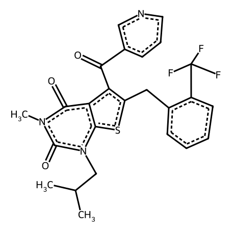 CC(C)Cn1c(=O)n(C)c(=O)c2c(C(=O)c3cccnc3)c(Cc3ccccc3C(F)(F)F)sc21